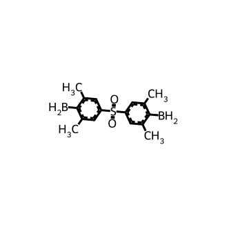 Bc1c(C)cc(S(=O)(=O)c2cc(C)c(B)c(C)c2)cc1C